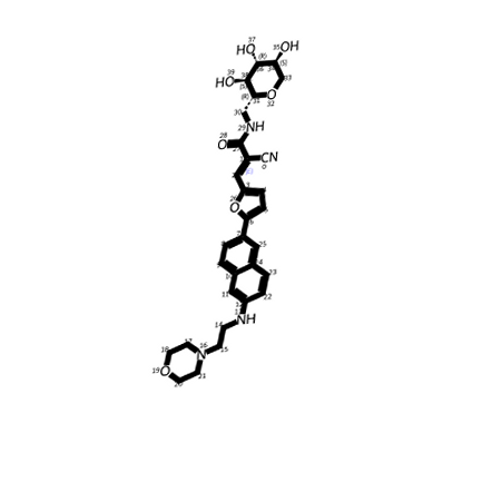 N#C/C(=C\c1ccc(-c2ccc3cc(NCCN4CCOCC4)ccc3c2)o1)C(=O)NC[C@H]1OC[C@H](O)[C@@H](O)[C@@H]1O